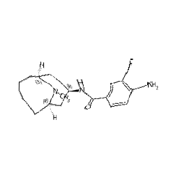 CN1[C@@H]2CCC[C@H]1C[C@@H](NC(=O)c1ccc(N)c(F)c1)C2